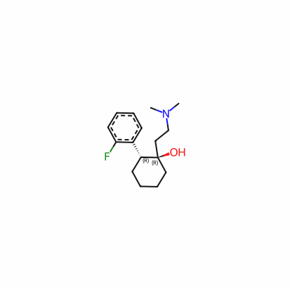 CN(C)CC[C@]1(O)CCCC[C@@H]1c1ccccc1F